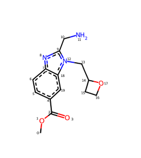 COC(=O)c1ccc2nc(CN)n(CC3CCO3)c2c1